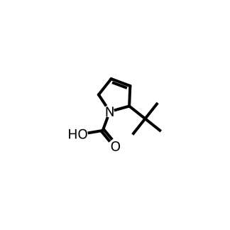 CC(C)(C)C1C=CCN1C(=O)O